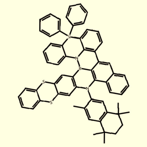 Cc1cc2c(cc1N1c3cc4c(cc3B3c5c(cc6ccccc6c51)-c1cccc5c1N3c1ccccc1[Si]5(c1ccccc1)c1ccccc1)Sc1ccccc1S4)C(C)(C)CCC2(C)C